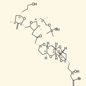 C=C(Br)C[C@H](O)CC[C@@]12C[C@H]3O[C@H]4C(O1)[C@H]1O[C@@H](CC(=O)CC5C(C[C@H]6O[C@@H](CCCO)C[C@@H](C)C6=C)O[C@H](C[C@H](C)CO[Si](C)(C)C(C)(C)C)[C@@H]5C)CC[C@@H]1O[C@H]4[C@H]3O2